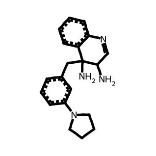 NC1C=Nc2ccccc2C1(N)Cc1cccc(N2CCCC2)c1